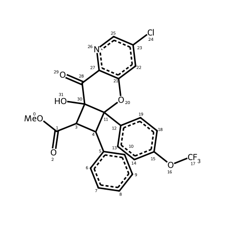 COC(=O)C1C(c2ccccc2)C2(c3ccc(OC(F)(F)F)cc3)Oc3cc(Cl)cnc3C(=O)C12O